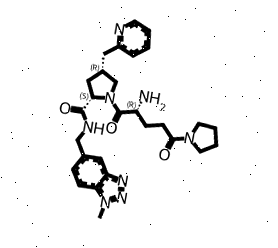 Cn1nnc2cc(CNC(=O)[C@@H]3C[C@H](Cc4ccccn4)CN3C(=O)[C@H](N)CCC(=O)N3CCCC3)ccc21